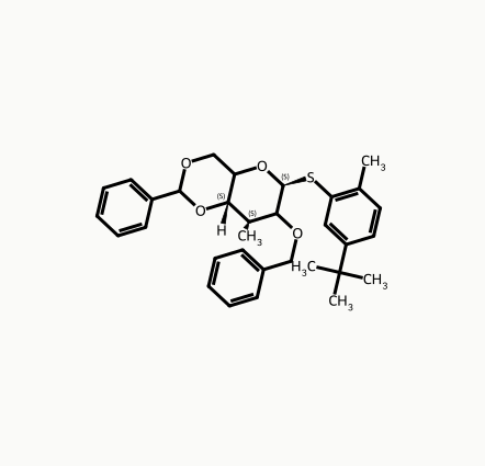 Cc1ccc(C(C)(C)C)cc1S[C@@H]1OC2COC(c3ccccc3)O[C@H]2[C@H](C)C1OCc1ccccc1